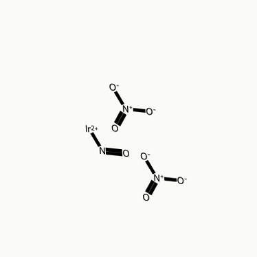 O=[N+]([O-])[O-].O=[N+]([O-])[O-].O=[N][Ir+2]